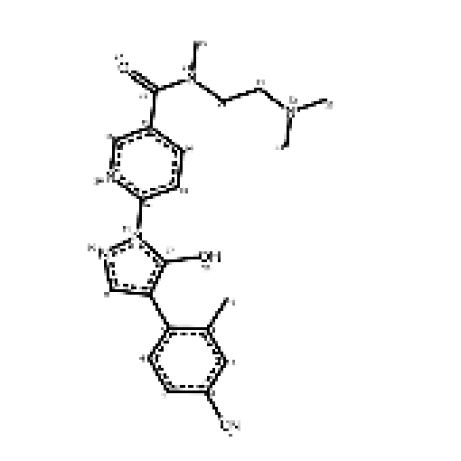 Cc1cc(C#N)ccc1-c1cnn(-c2ccc(C(=O)N(C)CCN(C)C)cn2)c1O